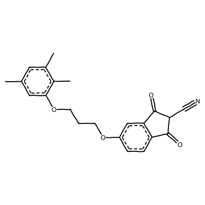 Cc1cc(C)c(C)c(OCCCOc2ccc3c(c2)C(=O)C(C#N)C3=O)c1